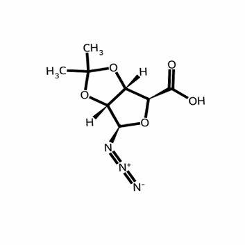 CC1(C)O[C@@H]2[C@H](O1)[C@@H](C(=O)O)O[C@H]2N=[N+]=[N-]